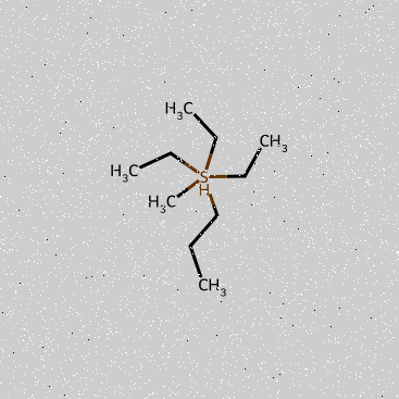 CCC[SH](C)(CC)(CC)CC